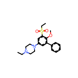 CCN1CCN(c2cc(-c3ccccc3)c(OC)c(S(=O)(=O)CC)c2)CC1